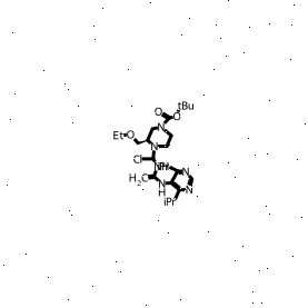 C=C(Nc1c(C(C)C)ncnc1C(C)C)NC(Cl)N1CCN(C(=O)OC(C)(C)C)C[C@@H]1COCC